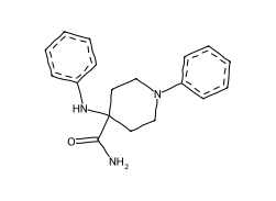 NC(=O)C1(Nc2ccccc2)CCN(c2ccccc2)CC1